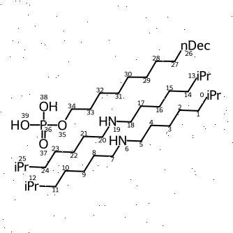 CC(C)CCCCCNCCCCCC(C)C.CC(C)CCCCCNCCCCCC(C)C.CCCCCCCCCCCCCCCCCCOP(=O)(O)O